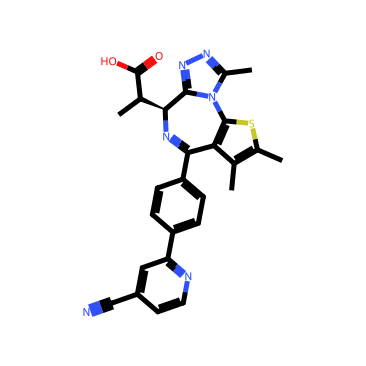 Cc1sc2c(c1C)C(c1ccc(-c3cc(C#N)ccn3)cc1)=N[C@@H](C(C)C(=O)O)c1nnc(C)n1-2